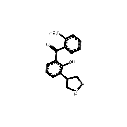 O=C(O)c1ccccc1C(=O)c1cccc(C2CCNC2)c1O